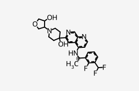 C[C@@H](Nc1ccnc2cnc(C3(O)CCN(C4COCC4O)CC3)cc12)c1cccc(C(F)F)c1F